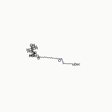 CCCCCCCCCCCCCCCCC/C=C\CC/C=C\C(=O)CCCCCCCCCCCCCCCCCC(=O)OC[C@H](CO)OP(=O)(O)OC[C@@H](O)[C@@H](O)[C@H](O)[C@H](O)CO